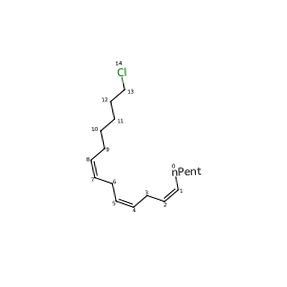 CCCCC/C=C\C/C=C\C/C=C\CCCCCCl